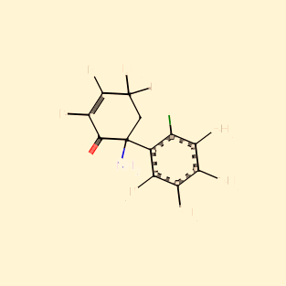 BC1=C(B)C(B)(B)CC(N)(c2c(B)c(B)c(B)c(B)c2Cl)C1=O